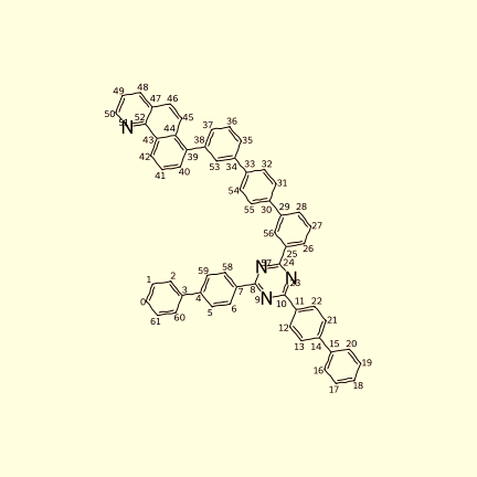 c1ccc(-c2ccc(-c3nc(-c4ccc(-c5ccccc5)cc4)nc(-c4cccc(-c5ccc(-c6cccc(-c7cccc8c7ccc7cccnc78)c6)cc5)c4)n3)cc2)cc1